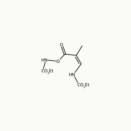 CCOC(=O)NC=C(C)C(=O)ONC(=O)OCC